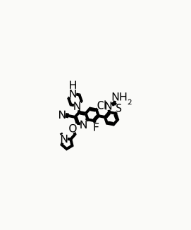 CN1CCCC1COc1nc2c(F)c(-c3cccc4sc(N)nc34)c(Cl)cc2c(N2CCNCC2)c1C#N